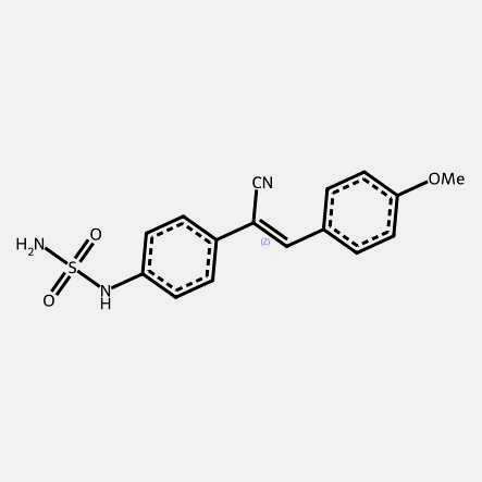 COc1ccc(/C=C(\C#N)c2ccc(NS(N)(=O)=O)cc2)cc1